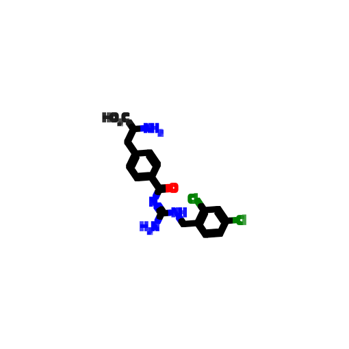 NC(=NC(=O)c1ccc(CC(N)C(=O)O)cc1)NCc1ccc(Cl)cc1Cl